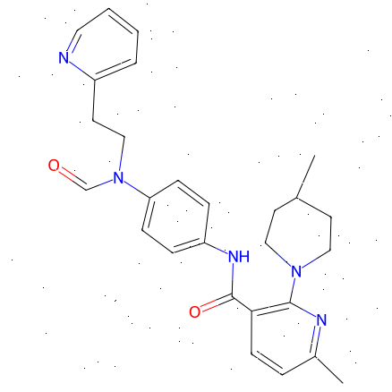 Cc1ccc(C(=O)Nc2ccc(N(C=O)CCc3ccccn3)cc2)c(N2CCC(C)CC2)n1